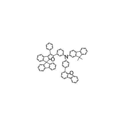 CC1(C)c2ccccc2-c2ccc(N(c3ccc(-c4cccc5c4oc4ccccc45)cc3)c3cccc(-c4oc5c(c4-c4ccccc4)-c4ccccc4C54c5ccccc5-c5ccccc54)c3)cc21